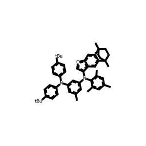 Cc1cc(N(c2ccc(C(C)(C)C)cc2)c2ccc(C(C)(C)C)cc2)cc(N(c2c(C)cc(C)cc2C)c2coc3cc4c(cc23)C2(C)CCC4(C)CC2)c1